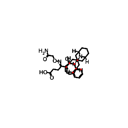 NC(=O)CO/N=C(\CCC(=O)O)c1nc2ccccc2n(C2C[C@H]3CCC[C@@H](C2)N3C2C[C@H]3CCCC[C@@H](C2)C3)c1=O